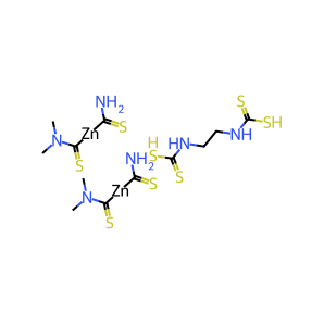 CN(C)[C](=S)[Zn][C](N)=S.CN(C)[C](=S)[Zn][C](N)=S.S=C(S)NCCNC(=S)S